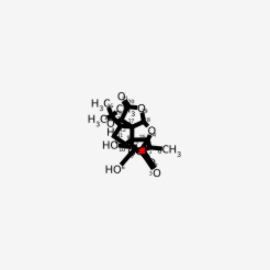 CC1C(=O)OC(O)C(O)C23C4CC(C(C)(C)C)C25C(OC(=O)C5O)OC13C(=O)O4